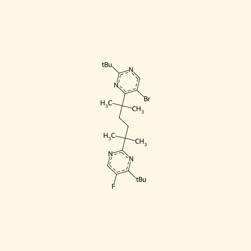 CC(C)(C)c1ncc(Br)c(C(C)(C)CCC(C)(C)c2ncc(F)c(C(C)(C)C)n2)n1